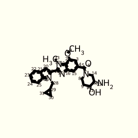 COc1cc(C(=O)N2CC[C@@H](O)[C@@H](N)C2)cc2nc(-c3cc4ccccc4n3CC3CC3)n(C)c12